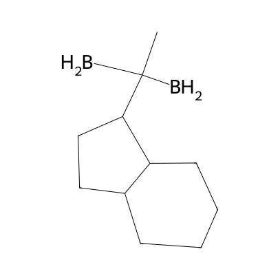 BC(B)(C)C1CCC2CCCCC21